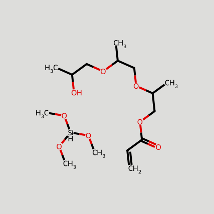 C=CC(=O)OCC(C)OCC(C)OCC(C)O.CO[SiH](OC)OC